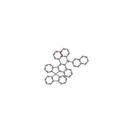 c1ccc(-c2c3c(c4ccccc4c2N(c2ccccc2)c2ccc4ccccc4c2)C2(c4ccccc4-c4ccccc42)c2ccccc2-3)cc1